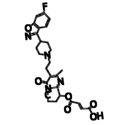 Cc1nc2n(c(=O)c1CCN1CCC(c3noc4cc(F)ccc34)CC1)CCCC2OC(=O)C=CC(=O)O